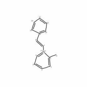 Cc1cccc[n+]1C=Cc1ccccc1